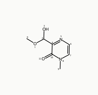 COC(O)c1nccn(C)c1=O